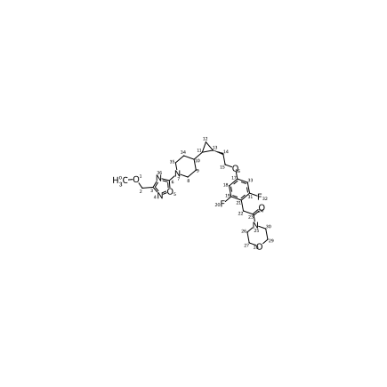 COCc1noc(N2CCC(C3C[C@H]3CCOc3cc(F)c(CC(=O)N4CCOCC4)c(F)c3)CC2)n1